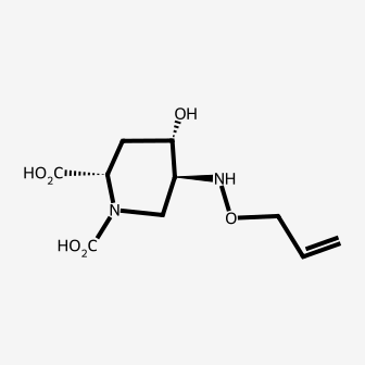 C=CCON[C@H]1CN(C(=O)O)[C@H](C(=O)O)C[C@@H]1O